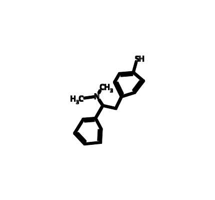 CN(C)C(Cc1ccc(S)cc1)c1ccccc1